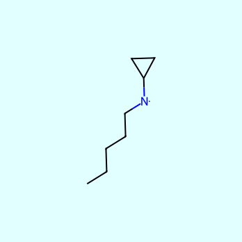 CCCCC[N]C1CC1